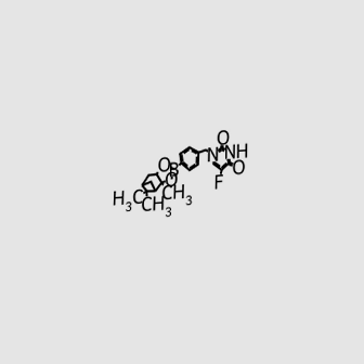 CC1(C)C2CC3OB(c4ccc(Cn5cc(F)c(=O)[nH]c5=O)cc4)OC3(C)C1C2